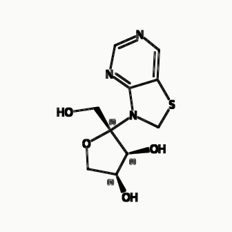 OC[C@]1(N2CSc3cncnc32)OC[C@H](O)[C@@H]1O